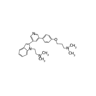 CN(C)CCCOc1ccc(-c2cncc(-c3cc4ccccc4n3CCN(C)C)c2)cc1